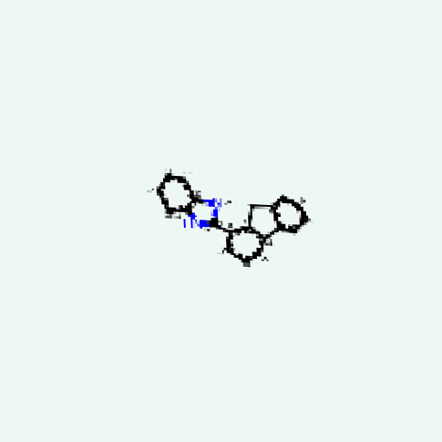 c1ccc2c(c1)Cc1c(-c3nc4ccccc4[nH]3)cccc1-2